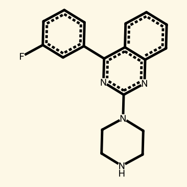 Fc1cccc(-c2nc(N3CCNCC3)nc3ccccc23)c1